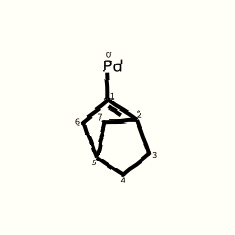 [Pd][C]1=C2CCC(C1)C2